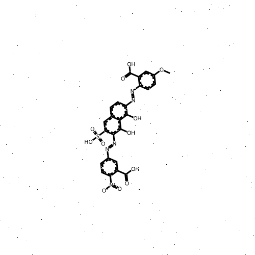 COc1ccc(/N=N/c2ccc3cc(S(=O)(=O)O)c(/N=N/c4ccc([N+](=O)[O-])c(C(=O)O)c4)c(O)c3c2O)c(C(=O)O)c1